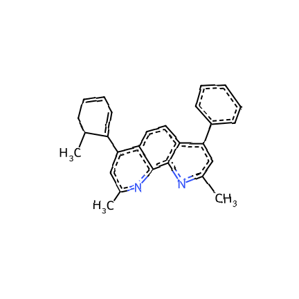 Cc1cc(C2=CC=CCC2C)c2ccc3c(-c4ccccc4)cc(C)nc3c2n1